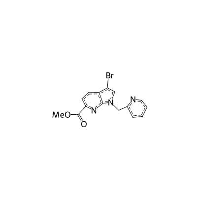 COC(=O)c1ccc2c(Br)cn(Cc3ccccn3)c2n1